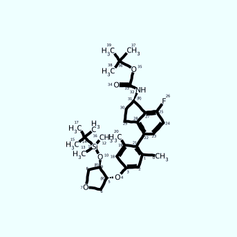 Cc1cc(O[C@@H]2COC[C@H]2O[Si](C)(C)C(C)(C)C)cc(C)c1-c1ccc(F)c2c1CC[C@H]2NC(=O)OC(C)(C)C